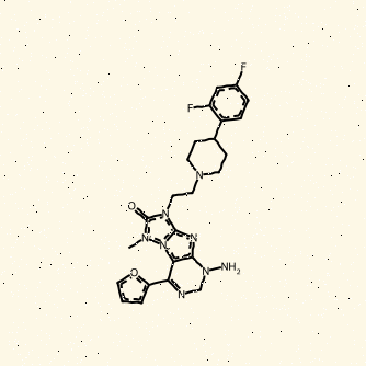 Cn1c(=O)n(CCN2CCC(c3ccc(F)cc3F)CC2)c2nc3c(n21)C(c1ccco1)=NCN3N